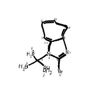 BC(B)(B)n1c(Br)nc2ccccc21